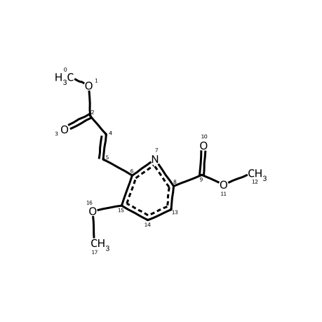 COC(=O)C=Cc1nc(C(=O)OC)ccc1OC